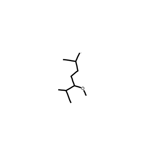 [CH2]C(C)CCC(OC)C(C)C